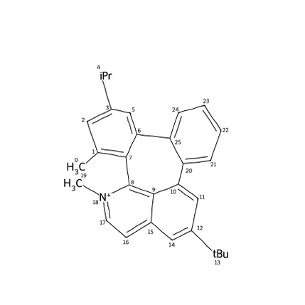 Cc1cc(C(C)C)cc2c1-c1c3c(cc(C(C)(C)C)cc3cc[n+]1C)-c1ccccc1-2